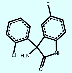 NC1(c2ccccc2Cl)C(=O)Nc2ccc(Cl)cc21